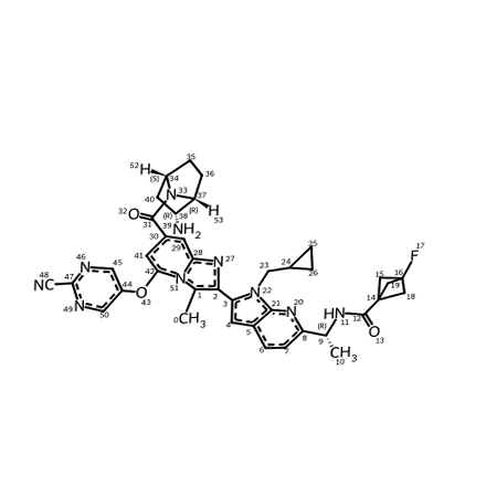 Cc1c(-c2cc3ccc([C@@H](C)NC(=O)C45CC(F)(C4)C5)nc3n2CC2CC2)nc2cc(C(=O)N3[C@H]4CC[C@@H]3[C@H](N)C4)cc(Oc3cnc(C#N)nc3)n12